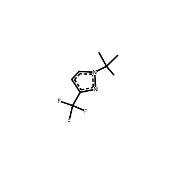 CC(C)(C)n1ccc(C(F)(F)F)n1